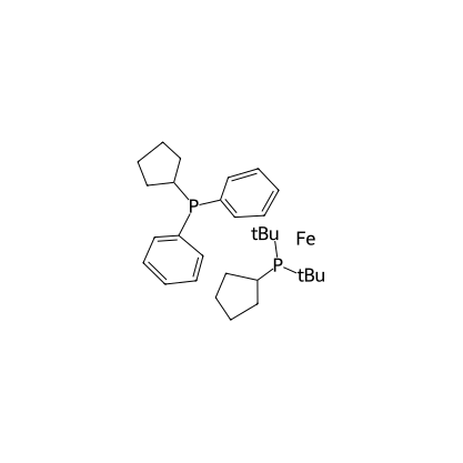 CC(C)(C)P(C1CCCC1)C(C)(C)C.[Fe].c1ccc(P(c2ccccc2)C2CCCC2)cc1